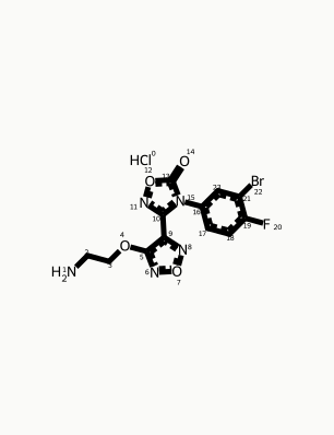 Cl.NCCOc1nonc1-c1noc(=O)n1-c1ccc(F)c(Br)c1